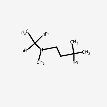 CCCC(C)(C(C)C)N(C)CCC(C)(C)C(C)C